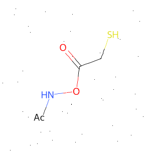 CC(=O)NOC(=O)CS